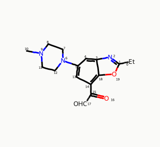 CCc1nc2cc(N3CCN(C)CC3)cc(C(=O)C=O)c2o1